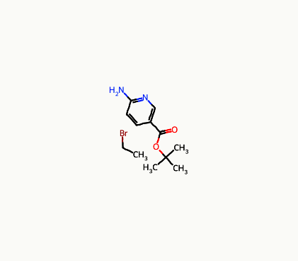 CC(C)(C)OC(=O)c1ccc(N)nc1.CCBr